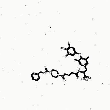 COC(=O)C(Cc1cc(I)c(Oc2cc(I)c(O)c(I)c2)c(I)c1)NC(=O)CCCC(=O)N1CCN(C(=O)OCc2ccccc2)CC1